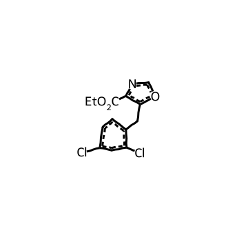 CCOC(=O)c1ncoc1Cc1ccc(Cl)cc1Cl